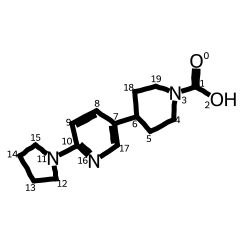 O=C(O)N1CCC(c2ccc(N3CCCC3)nc2)CC1